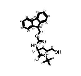 CC(C)(C)OC(=O)[C@](C)(CCCO)NC(=O)OCC1c2ccccc2-c2ccccc21